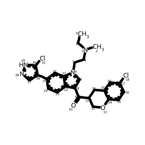 CCN(C)CCn1cc(C(=O)C2COc3ccc(Cl)cc3C2)c2ccc(-c3cn[nH]c3Cl)cc21